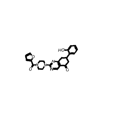 O=C1CC(c2ccccc2O)Cc2nc(N3CCN(C(=O)c4ccco4)CC3)ncc21